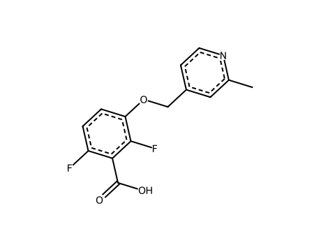 Cc1cc(COc2ccc(F)c(C(=O)O)c2F)ccn1